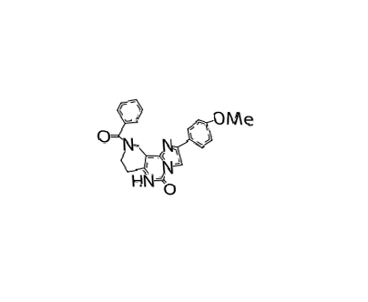 COc1ccc(-c2cn3c(=O)[nH]c4c(c3n2)CN(C(=O)c2ccccc2)CC4)cc1